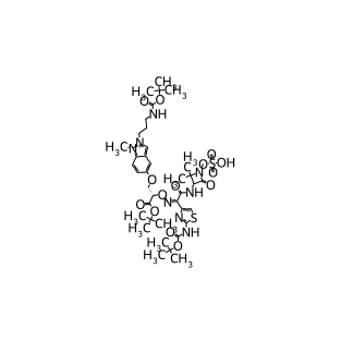 C[n+]1c2ccc(OC[C@H](O/N=C(\C(=O)N[C@@H]3C(=O)N(OS(=O)(=O)O)C3(C)C)c3csc(NC(=O)OC(C)(C)C)n3)C(=O)OC(C)(C)C)cc2cn1CCCNC(=O)OC(C)(C)C